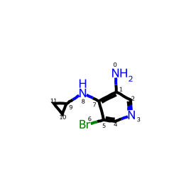 Nc1cncc(Br)c1NC1CC1